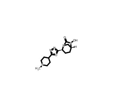 CN1CCC(c2nnc([C@@H]3CC[C@@H]4CN3C(=O)N4O)o2)CC1